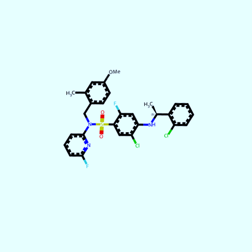 COc1ccc(CN(c2cccc(F)n2)S(=O)(=O)c2cc(Cl)c(N[C@@H](C)c3ccccc3Cl)cc2F)c(C)c1